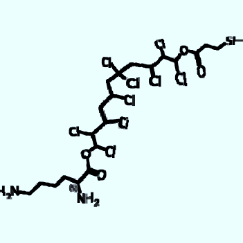 NCCCC[C@H](N)C(=O)OC(Cl)C(Cl)C(Cl)CC(Cl)CC(Cl)(Cl)CC(Cl)C(Cl)C(Cl)OC(=O)CCS